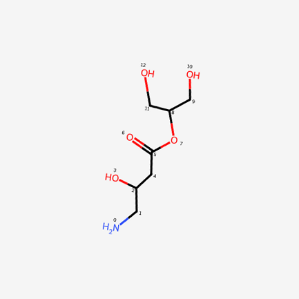 NCC(O)CC(=O)OC(CO)CO